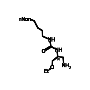 CCCCCCCCCCCCCNC(=O)N[C@@H](CN)COCC